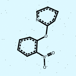 O=[N+]([O-])c1ccccc1Oc1ccccn1